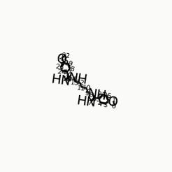 COc1ccc(C(=N)NCCCCCNC(=N)c2ccc(OC)cc2)cc1